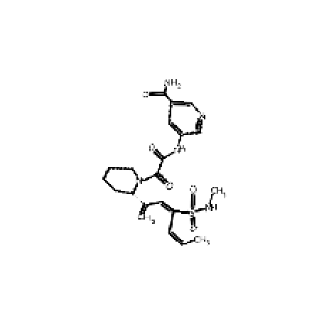 C=C(/C=C(\C=C/C)S(=O)(=O)NC)[C@@H]1CCCCN1C(=O)C(=O)Nc1cncc(C(N)=O)c1